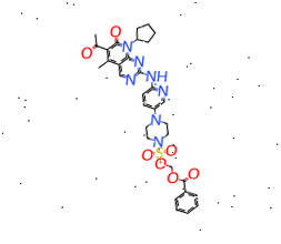 CC(=O)c1c(C)c2cnc(Nc3ccc(N4CCN(S(=O)(=O)OCOC(=O)c5ccccc5)CC4)cn3)nc2n(C2CCCC2)c1=O